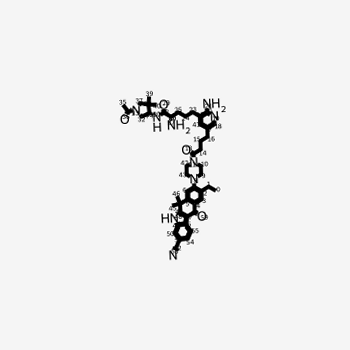 CCc1cc2c(cc1N1CCN(C(=O)CCCc3cnc(N)c(CCC[C@H](N)C(=O)N[C@H]4CN(C(C)=O)CC4(C)C)c3)CC1)C(C)(C)c1[nH]c3cc(C#N)ccc3c1C2=O